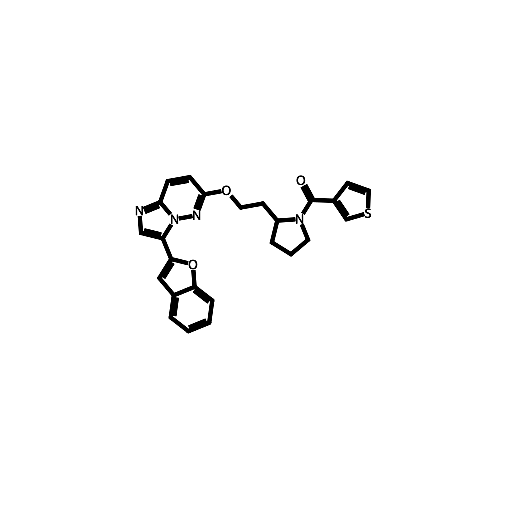 O=C(c1ccsc1)N1CCCC1CCOc1ccc2ncc(-c3cc4ccccc4o3)n2n1